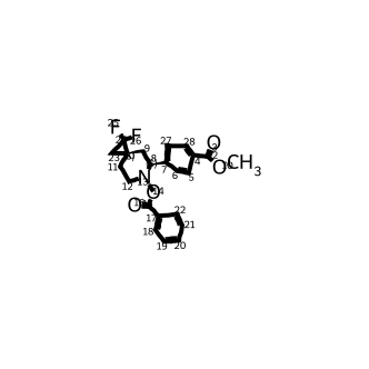 COC(=O)c1ccc([C@@H]2C[C@@]3(CCN2OC(=O)c2ccccc2)CC3(F)F)cc1